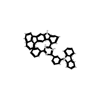 c1ccc(-c2nc(-c3cccc(-n4c5ccccc5c5ccccc54)c3)nc(-c3cccc4sc5cc6c(cc5c34)-c3cccc4cccc-6c34)n2)cc1